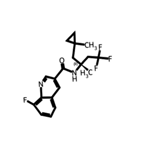 CC1(C[C@](C)(CC(F)(F)F)NC(=O)c2cnc3c(F)cccc3c2)CC1